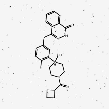 O=C(C1CCC1)N1CC[PH](O)(c2cc(Cc3n[nH]c(=O)c4ccccc34)ccc2F)CC1